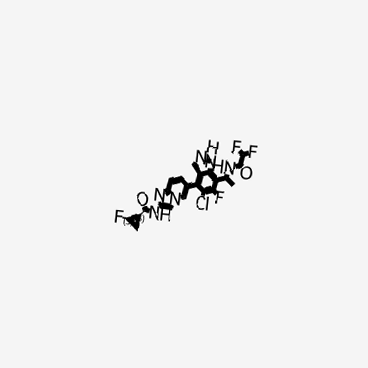 CC(NC(=O)C(F)F)c1c(F)c(Cl)c(-c2ccc3nc(NC(=O)[C@@H]4C[C@@H]4F)cn3c2)c2cn[nH]c12